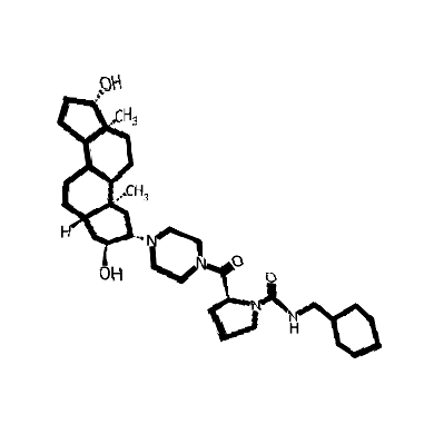 C[C@]12CCC3C(CC[C@H]4C[C@H](O)[C@@H](N5CCN(C(=O)[C@@H]6CCCN6C(=O)NCC6CCCCC6)CC5)C[C@]34C)C1CC[C@@H]2O